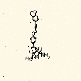 C=C(N[C@H](C(=O)NO)C(C)(C)N)c1ccc(OCC#Cc2ccc3c(c2)CCO3)cc1